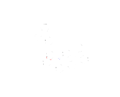 CC1(C)c2ccccc2-c2ccc(-c3cccc(N(c4ccc5c(c4)C4(c6ccccc6-c6ccccc64)c4ccccc4-5)c4ccccc4-c4ccccc4)c3)cc21